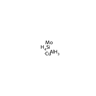 [AlH3].[Cu].[Mo].[SiH4]